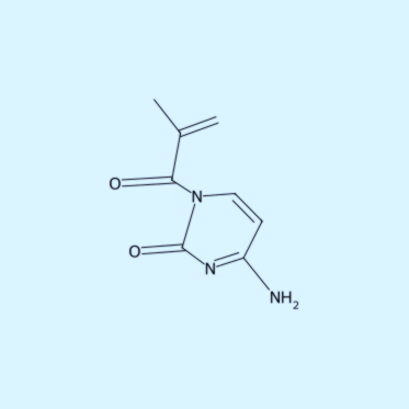 C=C(C)C(=O)n1ccc(N)nc1=O